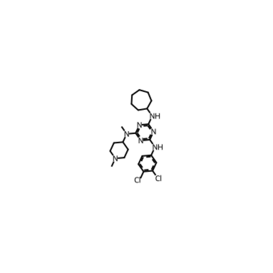 CN1CCC(N(C)c2nc(Nc3ccc(Cl)c(Cl)c3)nc(NC3CCCCCC3)n2)CC1